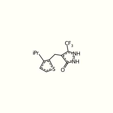 CC(C)c1ccsc1Cc1c(C(F)(F)F)[nH][nH]c1=O